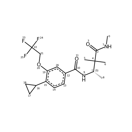 CNC(=O)C(C)(C)[C@H](C)NC(=O)c1ccc(C2CC2)c(OCC(F)(F)F)c1